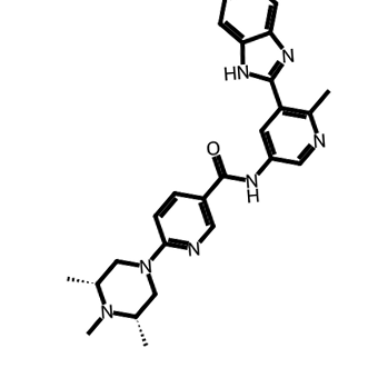 Cc1ncc(NC(=O)c2ccc(N3C[C@@H](C)N(C)[C@@H](C)C3)nc2)cc1-c1nc2ccccc2[nH]1